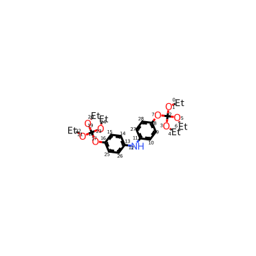 CCOC(OCC)(OCC)Oc1ccc(Nc2ccc(OC(OCC)(OCC)OCC)cc2)cc1